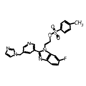 Cc1ccc(S(=O)(=O)OCCn2c(-c3cncc(Cn4ccnc4)c3)nc3ccc(F)cc32)cc1